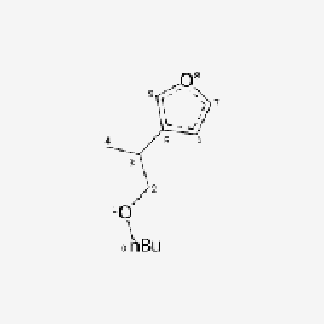 [CH2]CCCOCC(C)c1ccoc1